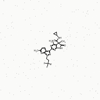 Cc1ccc2c(-c3nc(N)c4c(n3)NC(=O)C4(C)C(=O)NC3CC3)nn(CCC(F)(F)F)c2n1